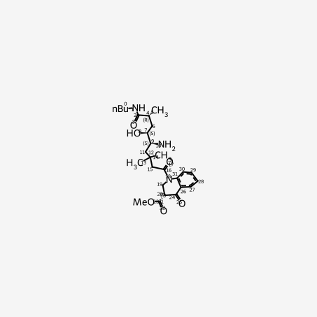 CCCCNC(=O)[C@H](C)C[C@H](O)[C@@H](N)CC(C)(C)CC(=O)N1C[C@@H](C(=O)OC)C(=O)c2ccccc21